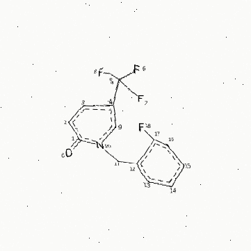 O=c1ccc(C(F)(F)F)cn1Cc1ccccc1F